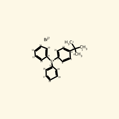 CC(C)(C)c1ccc([S+](c2ccccc2)c2ccccc2)cc1.[Br-]